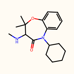 CNC1C(=O)N(C2CCCCC2)c2ccccc2OC1(C)C